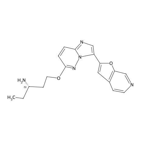 CC[C@H](N)CCOc1ccc2ncc(-c3cc4ccncc4o3)n2n1